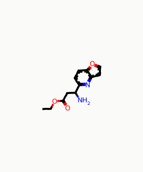 CCOC(=O)CC(N)c1ccc2occc2n1